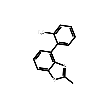 Cc1nc2c(-c3ccccc3C(F)(F)F)cccc2s1